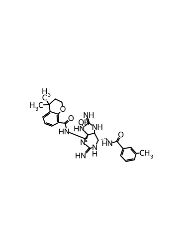 Cc1cccc(C(=O)NC[C@@H]2NC(=N)N3CC(NC(=O)c4cccc5c4OCCC5(C)C)[C@@H](O)C34NC(=N)NC24)c1